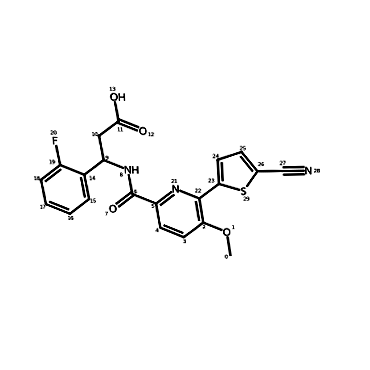 COc1ccc(C(=O)NC(CC(=O)O)c2ccccc2F)nc1-c1ccc(C#N)s1